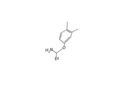 CCC(N)Oc1ccc(C)c(C)c1